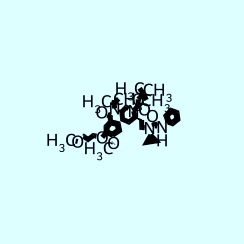 COCCCOc1cc(C(=O)N(C(C)C)[C@@H]2CC[C@H](CCN(C(=O)Nc3ccccc3)C3CC3)N(C(=O)OC(C)(C)C)C2)ccc1OC